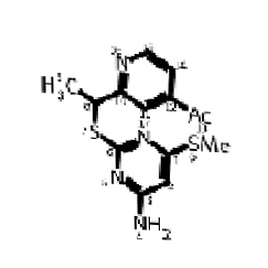 CSc1cc(N)nc(SC(C)c2cc(C(C)=O)ccn2)n1